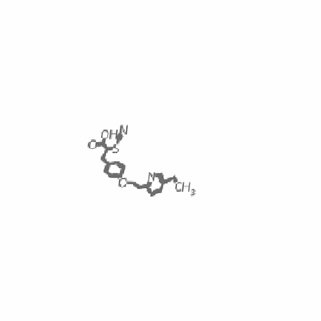 CCc1ccc(CCOc2ccc(CC(SC#N)C(=O)O)cc2)nc1